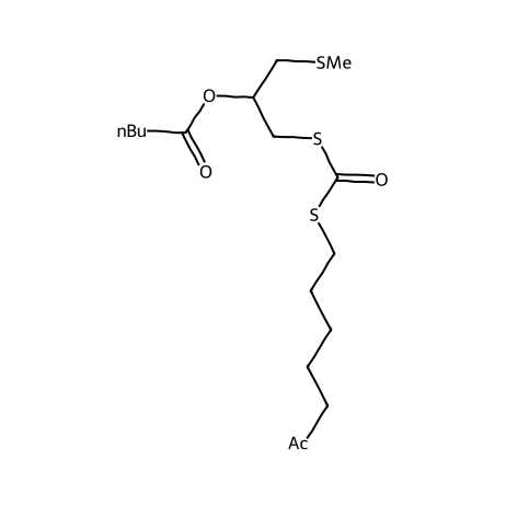 CCCCC(=O)OC(CSC)CSC(=O)SCCCCCC(C)=O